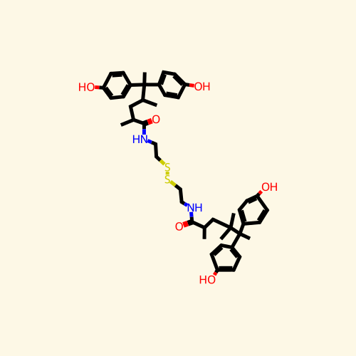 CC(CC(C)C(C)(c1ccc(O)cc1)c1ccc(O)cc1)C(=O)NCCSSCCNC(=O)C(C)CC(C)(C)C(C)(c1ccc(O)cc1)c1ccc(O)cc1